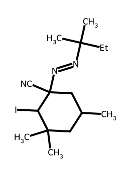 CCC(C)(C)N=NC1(C#N)CC(C)CC(C)(C)C1I